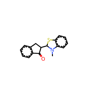 CN1c2ccccc2SC1C1Cc2ccccc2C1=O